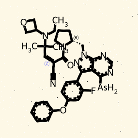 CCN(C1COC1)C(C)(C)/C=C(/C#N)C(=O)N1CCC[C@@H]1Cn1nc(-c2ccc(Oc3ccccc3)cc2F)c2c([AsH2])ncnc21